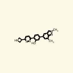 Cc1cc(-c2ccc(-c3ccc(C4CNC4)nn3)c(O)c2)cc2cn(C)nc12